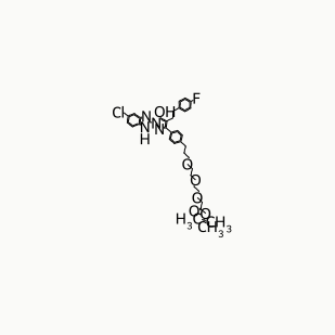 CC(C)(C)OC(=O)COCCOCCOCCCc1ccc(-c2nn(-c3nc4cc(Cl)ccc4[nH]3)c(O)c2CCc2ccc(F)cc2)cc1